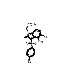 Cc1c(S(=O)(=O)c2ccc(Cl)cc2)c2c(C#N)c(Cl)ccc2n1CC(=O)O